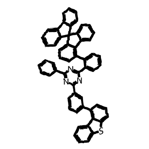 c1ccc(-c2nc(-c3cccc(-c4cccc5sc6ccccc6c45)c3)nc(-c3ccccc3-c3cccc4c3-c3ccccc3C43c4ccccc4-c4ccccc43)n2)cc1